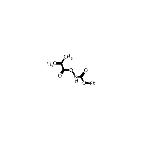 C=C(C)C(=O)ONC(=O)OCC